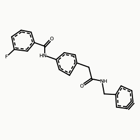 O=C(Cc1ccc(NC(=O)c2cccc(F)c2)cc1)NCc1cc#ccc1